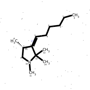 CCCCC/C=C1/[C@@H](C)CN(C)C1(C)C